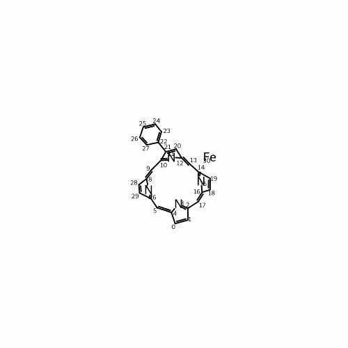 C1=CC2=NC1=CC1=NC(=CC3=NC(=CC4=NC(=C2)C=C4)C=C3c2ccccc2)C=C1.[Fe]